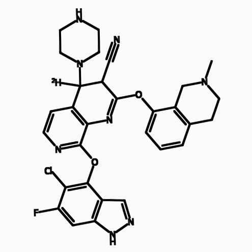 [2H]C1(N2CCNCC2)c2ccnc(Oc3c(Cl)c(F)cc4[nH]ncc34)c2N=C(Oc2cccc3c2CN(C)CC3)C1C#N